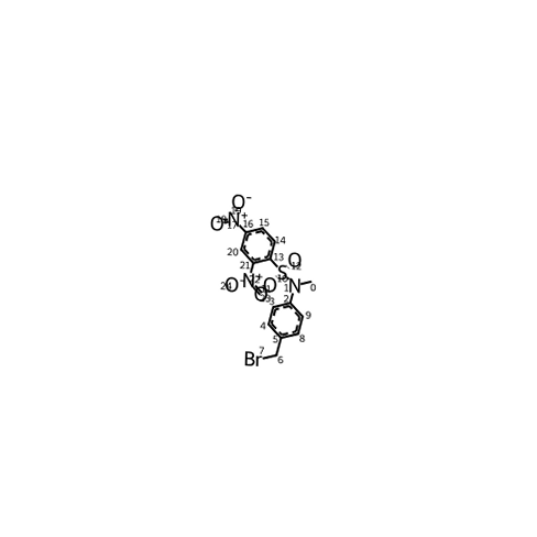 CN(c1ccc(CBr)cc1)S(=O)(=O)c1ccc([N+](=O)[O-])cc1[N+](=O)[O-]